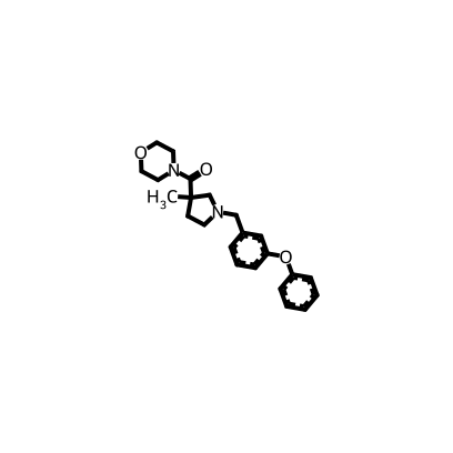 CC1(C(=O)N2CCOCC2)CCN(Cc2cccc(Oc3ccccc3)c2)C1